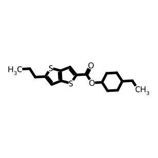 CCCc1cc2sc(C(=O)OC3CCC(CC)CC3)cc2s1